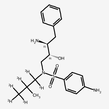 [2H]C([2H])([2H])C([2H])(C)C([2H])([2H])N(C[C@@H](O)[C@@H](N)Cc1ccccc1)S(=O)(=O)c1ccc(N)cc1